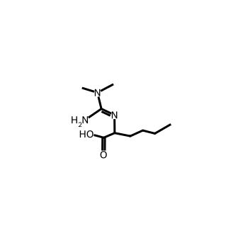 CCCCC(N=C(N)N(C)C)C(=O)O